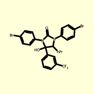 CCCC1N(c2ccc(Br)cc2)C(=O)N(c2ccc(Br)cc2)C1(O)c1cccc(C(F)(F)F)c1